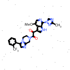 COc1cnc(-n2cnc(C)n2)c2[nH]cc(C(=O)C(=O)N3CCn4c(-c5ccccc5C(F)(F)F)cnc4C3)c12